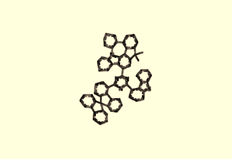 CC1(C)c2cccc3c2-c2c1cc(-c1nc(-c4cccc5c4-c4ccccc4C54c5ccccc5-c5ccccc54)nc(-c4cccc5sc6ccccc6c45)n1)c1c4ccccc4n(c21)-c1ccccc1-3